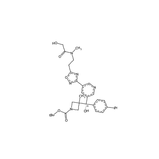 CC(C)c1ccc([C@](O)(c2cncc(-c3noc(CCN(C)C(=O)CO)n3)c2)C2(C)CN(C(=O)OC(C)(C)C)C2)cc1